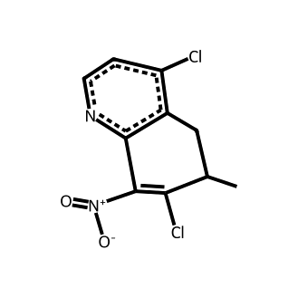 CC1Cc2c(Cl)ccnc2C([N+](=O)[O-])=C1Cl